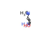 Cn1cc(CCC2CCc3cc([C@H]4CC[C@](N)(CO)C4)ccc3C2)cn1